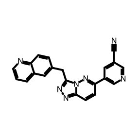 N#Cc1cncc(-c2ccc3nnc(Cc4ccc5ncccc5c4)n3n2)c1